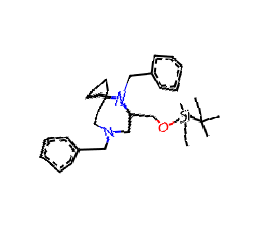 CC(C)(C)[Si](C)(C)OCC1CN(Cc2ccccc2)CC2(CC2)N1Cc1ccccc1